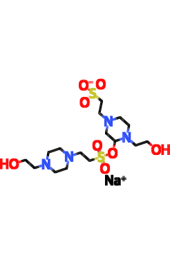 O=S(=O)([O-])CCN1CCN(CCO)C(OS(=O)(=O)CCN2CCN(CCO)CC2)C1.[Na+]